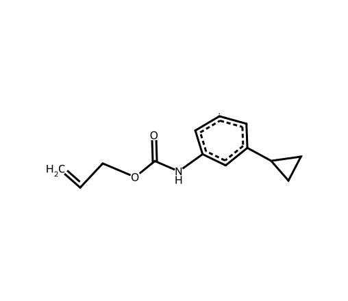 C=CCOC(=O)Nc1c[c]cc(C2CC2)c1